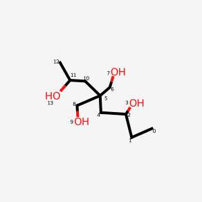 CCC(O)CC(CO)(CO)CC(C)O